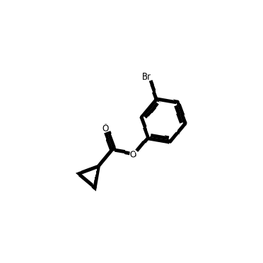 O=C(Oc1cccc(Br)c1)C1CC1